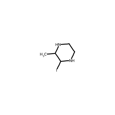 CC1NCCNC1I